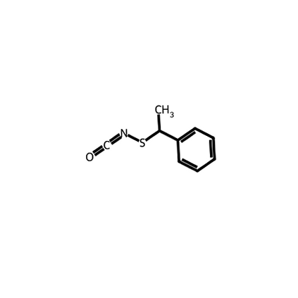 CC(SN=C=O)c1ccccc1